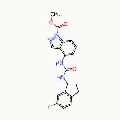 COC(=O)n1ncc2c(NC(=O)NC3CCc4ccc(F)cc43)cccc21